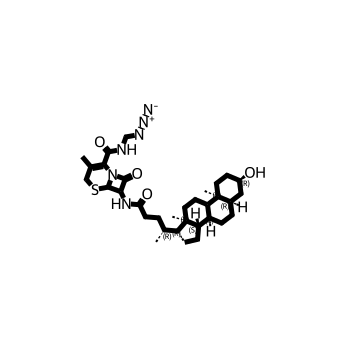 CC1=C(C(=O)NCN=[N+]=[N-])N2C(=O)C(NC(=O)CC[C@@H](C)[C@H]3CC[C@H]4[C@@H]5CC[C@@H]6C[C@H](O)CC[C@]6(C)C5CC[C@]34C)C2SC1